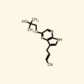 CC(C)(O)COc1cnc2[nH]cc(C/C=C/C#N)c2n1